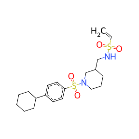 C=CS(=O)(=O)NCC1CCCN(S(=O)(=O)c2ccc(C3CCCCC3)cc2)C1